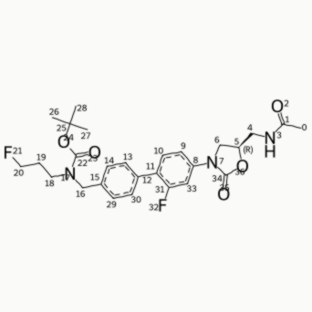 CC(=O)NC[C@@H]1CN(c2ccc(-c3ccc(CN(CCCF)C(=O)OC(C)(C)C)cc3)c(F)c2)C(=O)O1